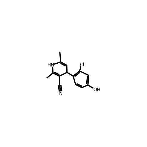 CC1=CC(c2ccc(O)cc2Cl)C(C#N)=C(C)N1